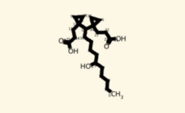 CCCCCC(O)CCCCC(C1(CCC(=O)O)CC1)C1(CCC(=O)O)CC1